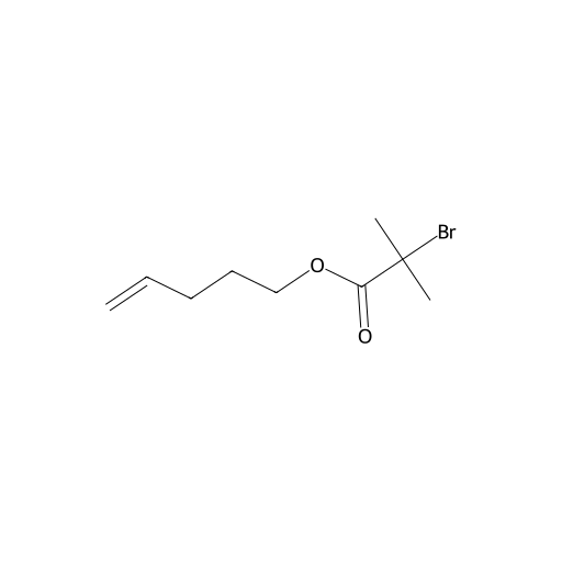 C=CCCCOC(=O)C(C)(C)Br